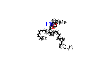 CC/C=C\C/C=C\C/C=C\C/C=C\C/C=C(CCCC(=O)N[C@@H](C)C(=O)OC)/C(=C/C/C=C\C/C=C\C/C=C\C/C=C\CCCC(=O)O)CC